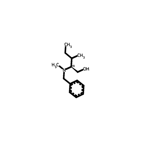 CCC(C)[C@@H](CO)N(C)Cc1ccccc1